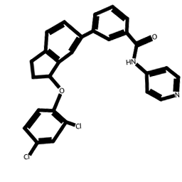 O=C(Nc1ccncc1)c1cccc(-c2ccc3c(c2)C(Oc2ccc(Cl)cc2Cl)CC3)c1